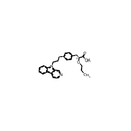 CCCO[C@@H](Cc1ccc(CCCn2c3ccccc3c3ccncc32)cc1)C(=O)O